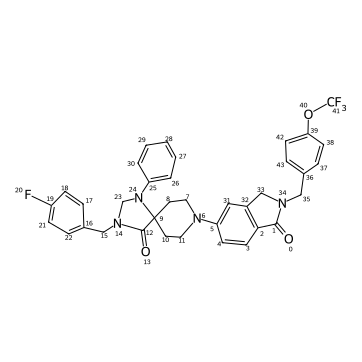 O=C1c2ccc(N3CCC4(CC3)C(=O)N(Cc3ccc(F)cc3)CN4c3ccccc3)cc2CN1Cc1ccc(OC(F)(F)F)cc1